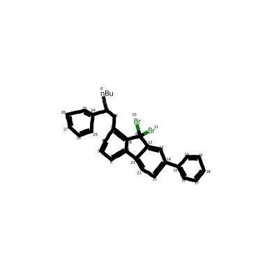 CCCCC(Cc1cccc2c1C(Br)(Br)c1cc(-c3ccccc3)ccc1-2)c1ccccc1